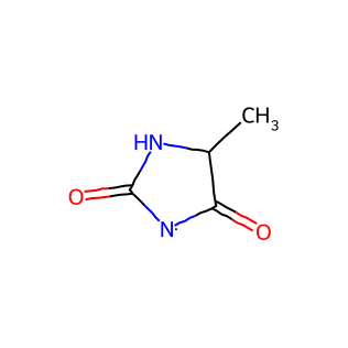 CC1NC(=O)[N]C1=O